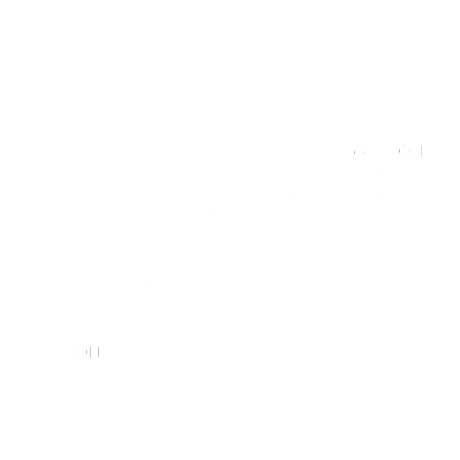 CCCCCCCCCC1C(CCC(C)CCC/C(C)=C/CC/C(C)=C/CCC(C)C(=O)O)=CC(O)C(C)C1C